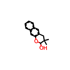 CC1(C)Cc2cc3ccccc3cc2OC1O